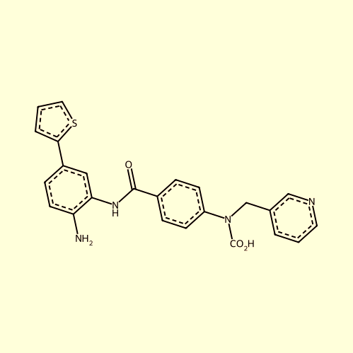 Nc1ccc(-c2cccs2)cc1NC(=O)c1ccc(N(Cc2cccnc2)C(=O)O)cc1